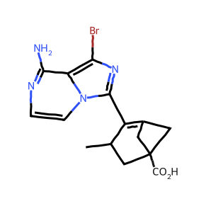 CC1CC2(C(=O)O)CC(=C1c1nc(Br)c3c(N)nccn13)C2